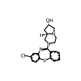 O[C@H]1C[C@H]2CN(C3=Nc4cc(Cl)ccc4Sc4ccccc43)CCN2C1